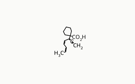 C=C=C(/C=C\C=C/C)C1(C(=O)O)CCCCC1